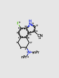 CCCN(CCC)C1CCc2cc(F)c3[nH]cc(C#N)c3c2C1